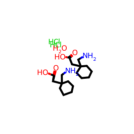 Cl.Cl.NCC1(CC(=O)O)CCCCC1.NCC1(CC(=O)O)CCCCC1.O